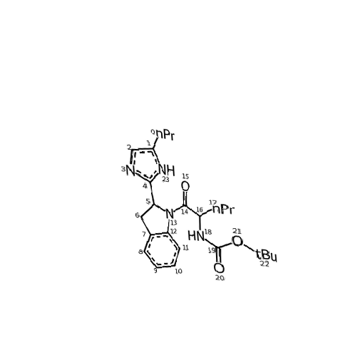 CCCc1cnc(C2Cc3ccccc3N2C(=O)C(CCC)NC(=O)OC(C)(C)C)[nH]1